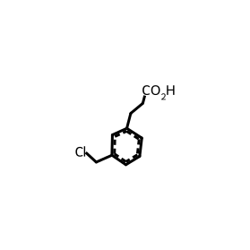 O=C(O)CCc1cccc(CCl)c1